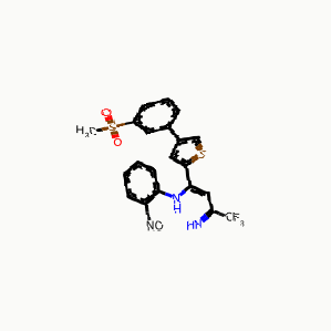 CS(=O)(=O)c1cccc(-c2csc(/C(=C/C(=N)C(F)(F)F)Nc3ccccc3N=O)c2)c1